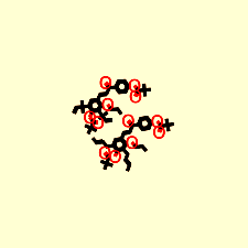 C=CC(C)(C)c1cc(C=CC(=O)c2ccc(OC(=O)C(C)(C)C)cc2)c(OCCC)c(C(C)(C)C=C)c1OC(=O)C(C)(C)C.CC=CCc1cc(C=CC(=O)c2ccc(OC(=O)C(C)(C)C)cc2)c(OCCC)c(CC=CC)c1OC(=O)C(C)(C)C